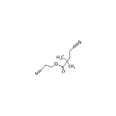 CC(C)(CCC#N)C(=O)OCCC#N